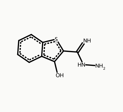 N=C(NN)c1sc2ccccc2c1O